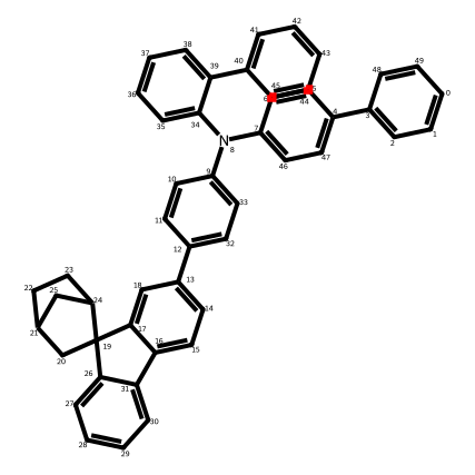 c1ccc(-c2ccc(N(c3ccc(-c4ccc5c(c4)C4(CC6CCC4C6)c4ccccc4-5)cc3)c3ccccc3-c3ccccc3)cc2)cc1